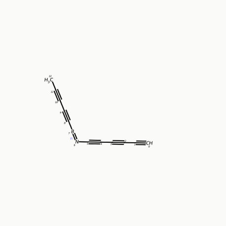 C#CC#CC#C/N=B/C#CC#CC